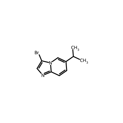 CC(C)c1ccc2ncc(Br)n2c1